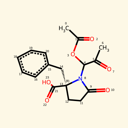 CC(=O)OC(C(C)=O)N1C(=O)CC[C@@]1(Cc1ccccc1)C(=O)O